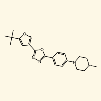 CN1CCN(c2ccc(-c3nnc(-c4cc(C(C)(C)C)on4)o3)cc2)CC1